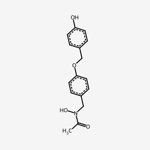 CC(=O)N(O)Cc1ccc(OCc2ccc(O)cc2)cc1